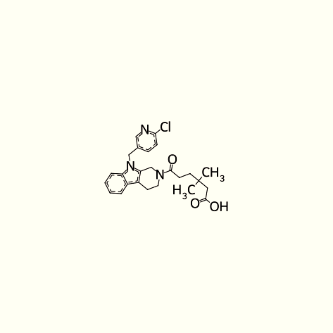 CC(C)(CCC(=O)N1CCc2c(n(Cc3ccc(Cl)nc3)c3ccccc23)C1)CC(=O)O